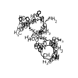 CCNC(=O)N[C@H](Cc1ccccc1)C(=O)N[C@H]1CSSC[C@@H](C(=O)N[C@H](C(=O)NCCSSCCC(=O)N(C)[C@@H](C)C(=O)O[C@@]23O[C@H]2[C@H](C)[C@@H]2C[C@@](O)(NC(=O)O2)[C@H](OC)/C=C/C=C(\C)Cc2cc(OC)c(Cl)c(c2)N(C)C(=O)C[C@@H]3C)[C@@H](C)O)NC(=O)[C@H]([C@@H](C)O)NC(=O)[C@H](CCCCN)NC(=O)[C@@H](Cc2c[nH]c3ccccc23)NC(=O)[C@H](Cc2ccc(O)cc2)NC1=O